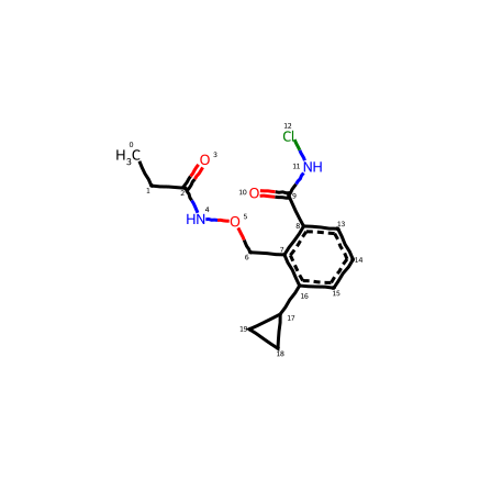 CCC(=O)NOCc1c(C(=O)NCl)cccc1C1CC1